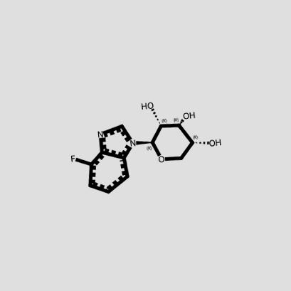 O[C@@H]1[C@H](O)[C@H](O)CO[C@H]1n1cnc2c(F)cccc21